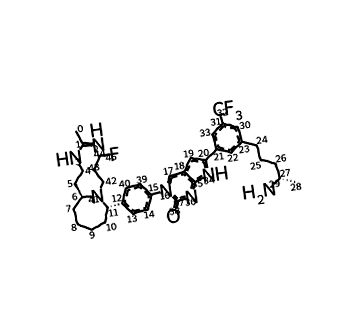 CC(=N)NCC[C@@H]1CCCC[C@@H](c2ccc(-n3cc4cc(-c5cc(CCC[C@H](C)N)cc(C(F)(F)F)c5)[nH]c4nc3=O)cc2)N1CCCF